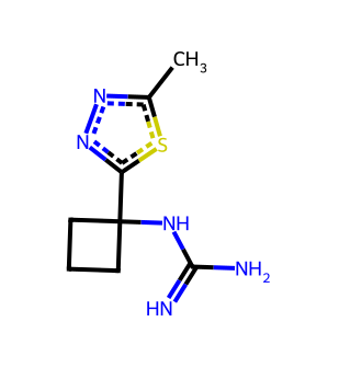 Cc1nnc(C2(NC(=N)N)CCC2)s1